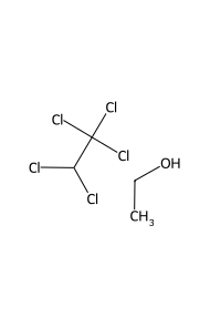 CCO.ClC(Cl)C(Cl)(Cl)Cl